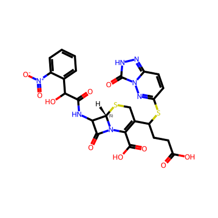 O=C(O)CCC(Sc1ccc2n[nH]c(=O)n2n1)C1=C(C(=O)O)N2C(=O)C(NC(=O)C(O)c3ccccc3[N+](=O)[O-])[C@@H]2SC1